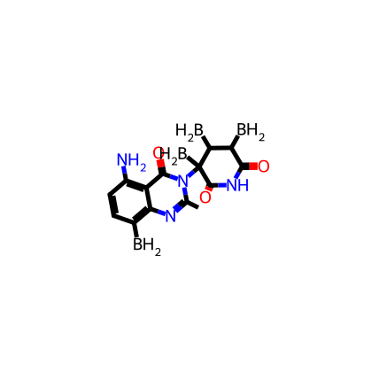 Bc1ccc(N)c2c(=O)n(C3(B)C(=O)NC(=O)C(B)C3B)c(C)nc12